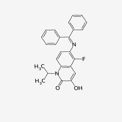 CC(C)n1c(=O)c(O)cc2c(F)c(N=C(c3ccccc3)c3ccccc3)ccc21